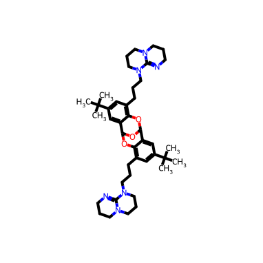 CC(C)(C)c1cc(CCCN2CCCN3CCCN=C32)c2c(c1)C1Oc3c(CCCN4CCCN5CCCN=C54)cc(C(C)(C)C)cc3C(O2)O1